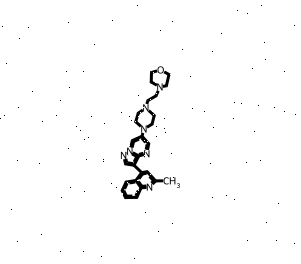 Cc1cc(-c2cnn3cc(N4CCN(CCN5CCOCC5)CC4)cnc23)c2ccccc2n1